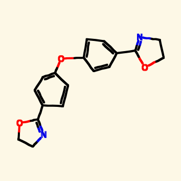 c1cc(C2=NCCO2)ccc1Oc1ccc(C2=NCCO2)cc1